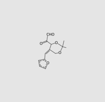 CC1(C)OCC(=Cc2ccco2)C(C(=O)C=O)O1